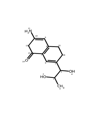 CC(O)C(O)C1=CC2=C(C=C(N)CC2=O)CC1